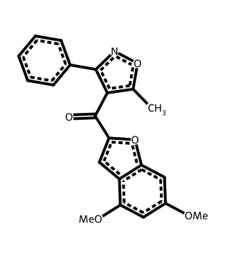 COc1cc(OC)c2cc(C(=O)c3c(-c4ccccc4)noc3C)oc2c1